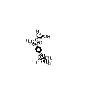 CON(C(=O)OC(C)CCO)c1ccc(B2OC(C)(C)C(C)(C)O2)cc1